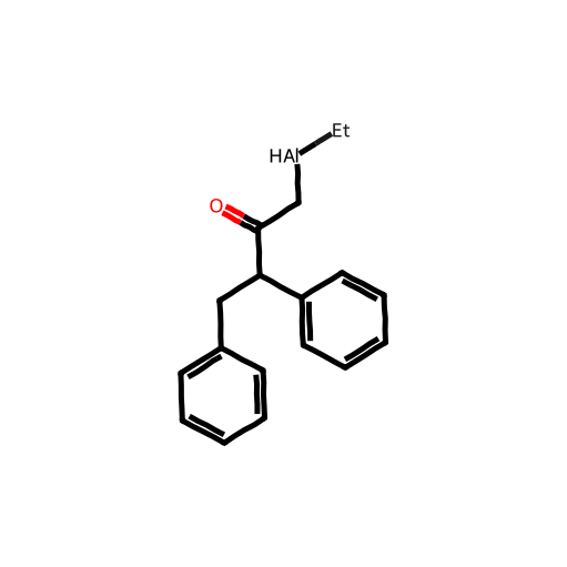 C[CH2][AlH][CH2]C(=O)C(Cc1ccccc1)c1ccccc1